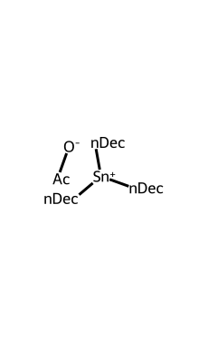 CC(=O)[O-].CCCCCCCCC[CH2][Sn+]([CH2]CCCCCCCCC)[CH2]CCCCCCCCC